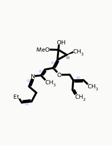 C=C/C(=C\C)COC(/C=C(C)/N=C\C/C=C\CC)=C1\[C@H](C)C1(O)OC